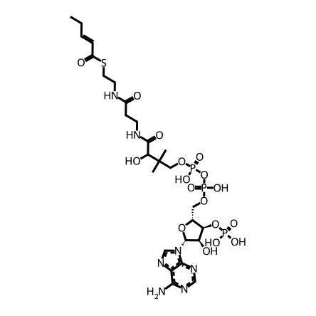 CC/C=C/C(=O)SCCNC(=O)CCNC(=O)C(O)C(C)(C)COP(=O)(O)OP(=O)(O)OC[C@H]1O[C@@H](n2cnc3c(N)ncnc32)[C@H](O)[C@@H]1OP(=O)(O)O